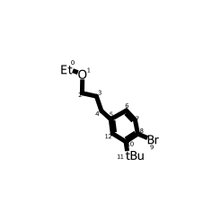 CCOCCCc1ccc(Br)c(C(C)(C)C)c1